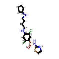 [O-][S+](Nc1nccs1)c1cc(Cl)c(NCCCCNC2CCCC2)cc1F